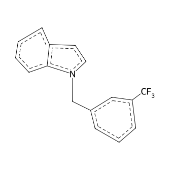 FC(F)(F)c1cccc(Cn2ccc3ccccc32)c1